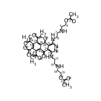 CC(=O)OCCNCCNc1nnc(NCCNCCOC(C)=O)c2c1C(=O)c1c(C(C)=O)c(C(C)=O)c(C(C)=O)c(C(C)=O)c1C2=O